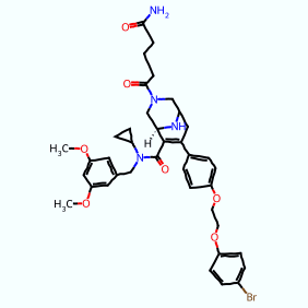 COc1cc(CN(C(=O)C2=C(c3ccc(OCCOc4ccc(Br)cc4)cc3)CC3CN(C(=O)CCCC(N)=O)C[C@H]2N3)C2CC2)cc(OC)c1